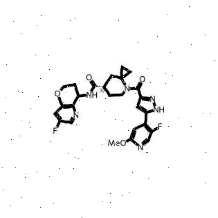 COc1cc(-c2cc(C(=O)N3CC[C@H](C(=O)NC4CCOc5cc(F)cnc54)CC34CC4)n[nH]2)c(F)cn1